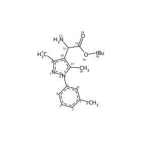 Cc1cccc(-n2nc(C)c(C(N)C(=O)OC(C)(C)C)c2C)c1